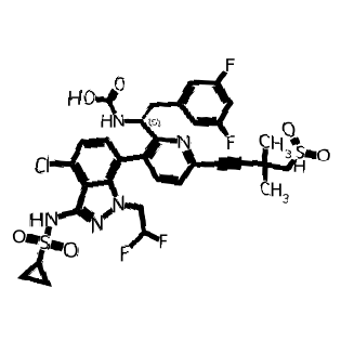 CC(C)(C#Cc1ccc(-c2ccc(Cl)c3c(NS(=O)(=O)C4CC4)nn(CC(F)F)c23)c([C@H](Cc2cc(F)cc(F)c2)NC(=O)O)n1)C[SH](=O)=O